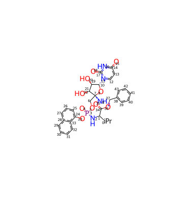 CC(C)C(NP(=O)(OC[C@@]1(N)O[C@@H](n2ccc(=O)[nH]c2=O)[C@H](O)[C@@H]1O)Oc1cccc2ccccc12)C(=O)OCc1ccccc1